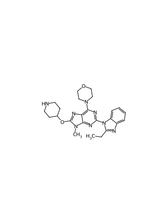 CCc1nc2ccccc2n1-c1nc(N2CCOCC2)c2nc(OC3CCNCC3)n(C)c2n1